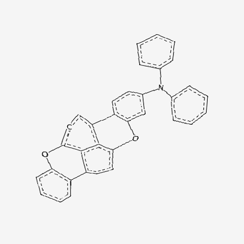 c1ccc(N(c2ccccc2)c2ccc3c(c2)Oc2ccc4c5c(ccc-3c25)Oc2ccccc2-4)cc1